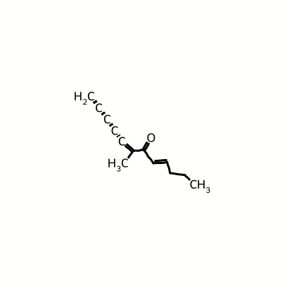 C=C=C=C=C=C(C)C(=O)C=CCCC